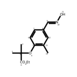 CCOC(=O)C(C)(C)Oc1ccc(/C=N/O)cc1C